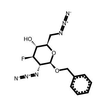 [N-]=[N+]=NC[C@H]1O[C@@H](OCc2ccccc2)[C@H](N=[N+]=[N-])[C@@H](F)[C@@H]1O